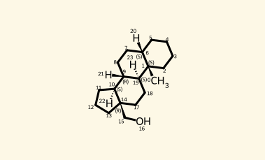 C[C@]12CCCC[C@H]1CC[C@H]1[C@@H]3CCC[C@@]3(CO)CC[C@@H]12